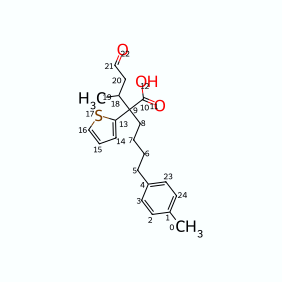 Cc1ccc(CCCCC(C(=O)O)(c2cccs2)C(C)CC=O)cc1